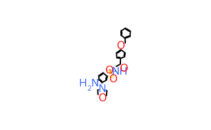 Nc1ccc(S(=O)(=O)NCC(=O)c2ccc(OCc3ccccc3)cc2)cc1N1CCOCC1